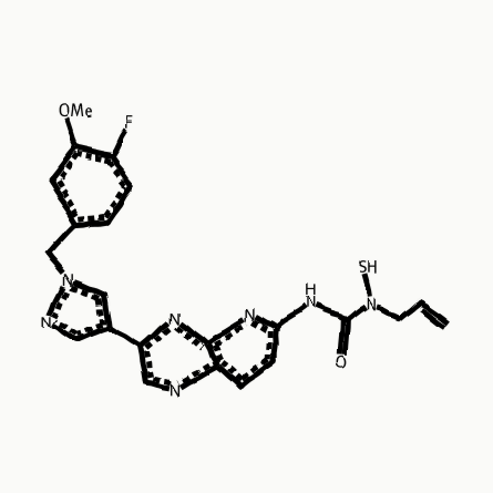 C=CCN(S)C(=O)Nc1ccc2ncc(-c3cnn(Cc4ccc(F)c(OC)c4)c3)nc2n1